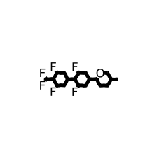 CC1CCC(C2CC(F)C(C3CC(F)C(C(F)F)C(F)C3)C(F)C2)OC1